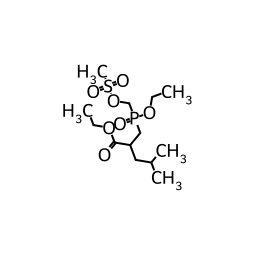 CCOC(=O)C(CC(C)C)CP(=O)(COS(C)(=O)=O)OCC